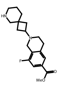 COC(=O)c1cc(F)c2c(c1)CCN(C1CC3(CCCNC3)C1)C2